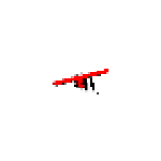 CCCCCCCCCCCCCCCCCC(=O)O[C@H](COCCCCCCCCCCCCCCCC)COP(=O)(O)OCCN